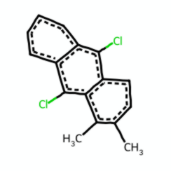 Cc1ccc2c(Cl)c3ccccc3c(Cl)c2c1C